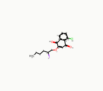 CCCCC(I)COC1=CC(=O)c2c(Cl)cccc2C1=O